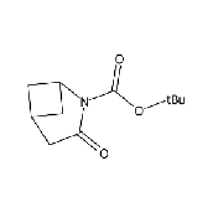 CC(C)(C)OC(=O)N1C(=O)CC2CC1C2